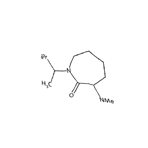 CNC1CCCCN(C(C)C(C)C)C1=O